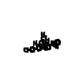 CC[C@@H](C)[C@@H](NC(=O)c1cnc2ccccc2n1)C(=O)N1CCC(c2ccc(Cl)cc2)CC1